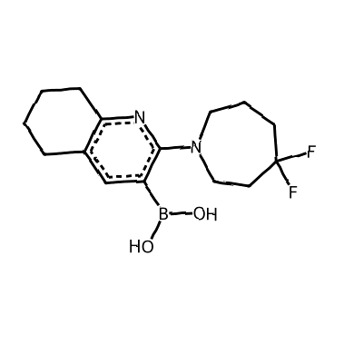 OB(O)c1cc2c(nc1N1CCCC(F)(F)CC1)CCCC2